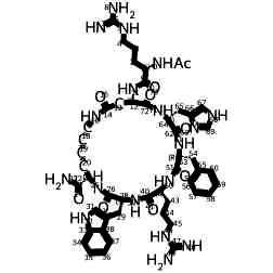 CC(=O)N[C@@H](CCCNC(=N)N)C(=O)N[C@H]1CC(=O)NCCCC[C@@H](C(N)=O)NC(=O)[C@H](Cc2c[nH]c3ccccc23)NC(=O)[C@H](CCCNC(=N)N)NC(=O)[C@@H](Cc2ccccc2)NC(=O)[C@@H](Cc2c[nH]cn2)NC1=O